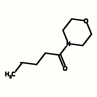 C[CH]CCC(=O)N1CCOCC1